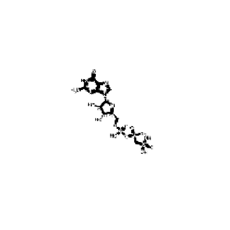 Nc1nc2c(ncn2[C@@H]2O[C@@H](COP(=O)(O)OP(=O)(O)CP(=O)(O)O)[C@H](O)[C@H]2O)c(=O)[nH]1